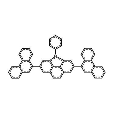 c1ccc(-n2c3cc(-c4cc5ccccc5c5ccccc45)cc4ccc5cc(-c6cc7ccccc7c7ccccc67)cc2c5c43)cc1